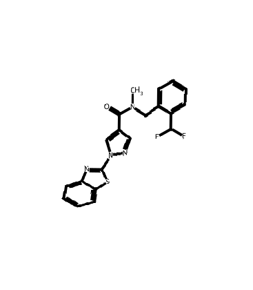 CN(Cc1ccccc1C(F)F)C(=O)c1cnn(-c2nc3ccccc3s2)c1